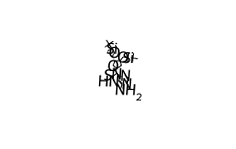 CC(C)(C)[Si](C)(C)OC[C@H]1O[C@@H](n2c(=S)[nH]c3c(N)ncnc32)CC1O[Si](C)(C)C(C)(C)C